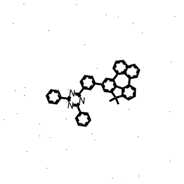 CC1(C)c2cccc3c2-c2c(cc(-c4cccc(-c5nc(-c6ccccc6)nc(-c6ccccc6)n5)c4)cc21)-c1cccc2cccc-3c12